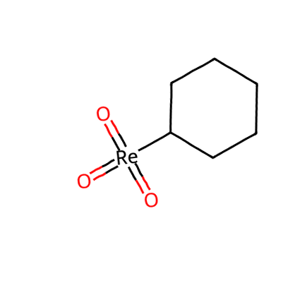 [O]=[Re](=[O])(=[O])[CH]1CCCCC1